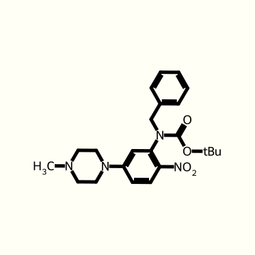 CN1CCN(c2ccc([N+](=O)[O-])c(N(Cc3ccccc3)C(=O)OC(C)(C)C)c2)CC1